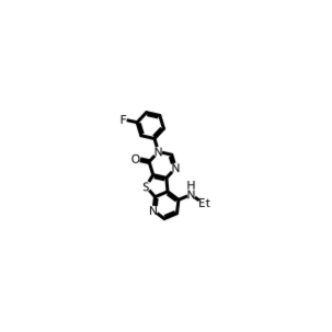 CCNc1ccnc2sc3c(=O)n(-c4cccc(F)c4)cnc3c12